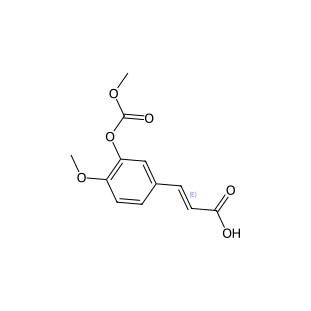 COC(=O)Oc1cc(/C=C/C(=O)O)ccc1OC